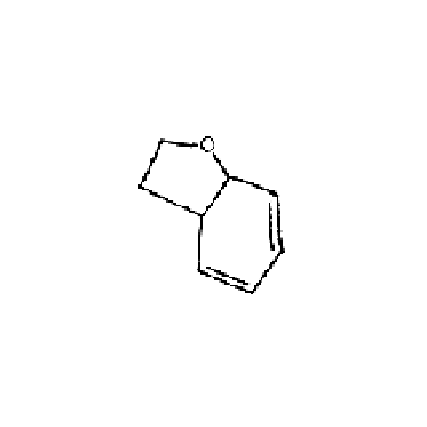 C1=CC2CCOC2C=C1